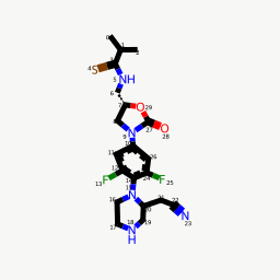 CC(C)C(=S)NC[C@H]1CN(c2cc(F)c(N3CCNCC3CC#N)c(F)c2)C(=O)O1